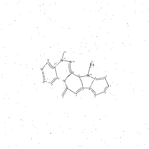 C=C1C=C2c3ccccc3N(CC)C2C(=NN(C)c2ccccc2)C1